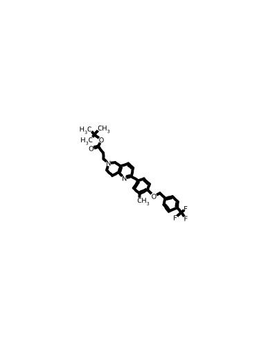 Cc1cc(-c2ccc3c(n2)CCN(CCC(=O)OC(C)(C)C)C3)ccc1OCc1ccc(C(F)(F)F)cc1